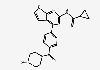 O=C(Nc1cc(-c2ccc(C(=O)N3CC[S+]([O-])CC3)cc2)c2cc[nH]c2n1)C1CC1